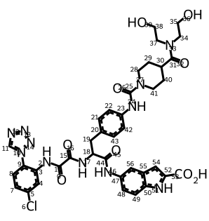 O=C(Nc1cc(Cl)ccc1-n1cnnn1)C(=O)NC(Cc1ccc(NC(=O)N2CCC(C(=O)N(CCO)CCO)CC2)cc1)C(=O)Nc1ccc2[nH]c(C(=O)O)cc2c1